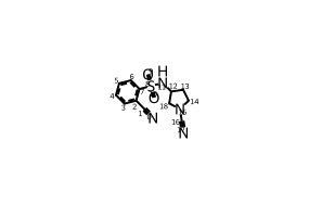 N#Cc1ccccc1S(=O)(=O)NC1CCN(C#N)C1